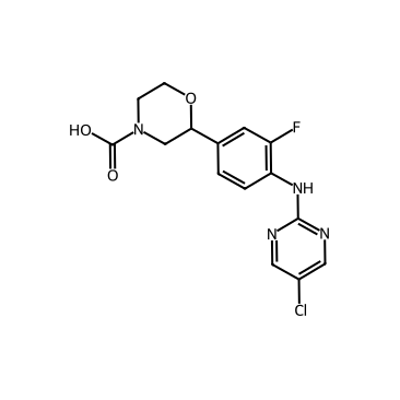 O=C(O)N1CCOC(c2ccc(Nc3ncc(Cl)cn3)c(F)c2)C1